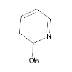 OC1CC=CC=N1